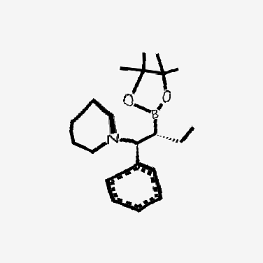 CC[C@@H](B1OC(C)(C)C(C)(C)O1)[C@@H](c1ccccc1)N1CCCCC1